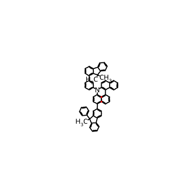 CC1(C)c2ccccc2-c2cccc(-c3cccc(N(c4ccc(-c5ccc6c(c5)C(C)(c5ccccc5)c5ccccc5-6)cc4)c4ccc5ccccc5c4-c4ccccc4)c3)c21